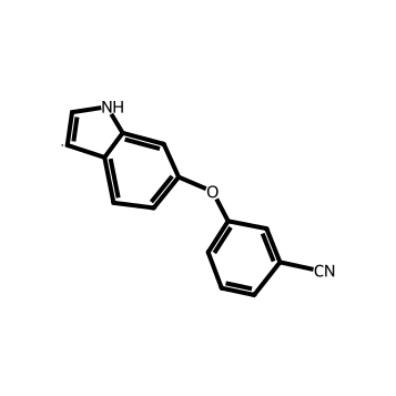 N#Cc1cccc(Oc2ccc3[c]c[nH]c3c2)c1